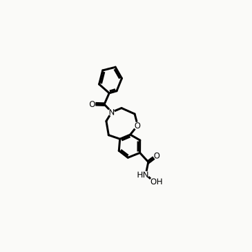 O=C(NO)c1ccc2c(c1)OCCN(C(=O)c1ccccc1)CC2